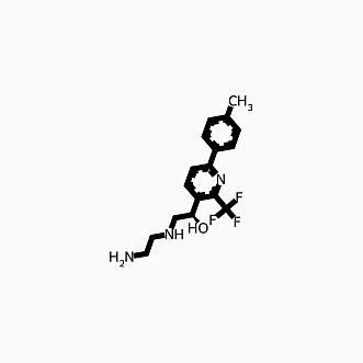 Cc1ccc(-c2ccc([C@@H](O)CNCCN)c(C(F)(F)F)n2)cc1